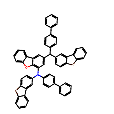 c1ccc(-c2ccc(C(c3ccc4sc5ccccc5c4c3)c3cc(N(c4ccc(-c5ccccc5)cc4)c4ccc5sc6ccccc6c5c4)c4oc5ccccc5c4c3)cc2)cc1